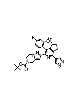 COc1cc(F)ccc1-c1c(-c2cc3n(n2)CCN(C(=O)OC(C)(C)C)C3)nc(-c2cnn(C)c2)c2c1C(F)CC2